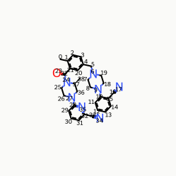 Cc1ccc(CN2CCN(c3ccccc3C#N)CC2)cc1C(=O)N1CCN(c2cccc(C#N)n2)C[C@@H]1C